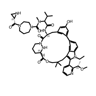 CCn1c(-c2cccnc2[C@H](C)OC)c2c3cc(ccc31)-c1cc(O)cc(c1)C[C@H](NC(=O)C(C(C)C)N(C)C(=O)N1CCCN(C(=O)[C@@H]3CN3)CC1)C(=O)N1CCC[C@H](N1)C(=O)OCC(C)(C)C2